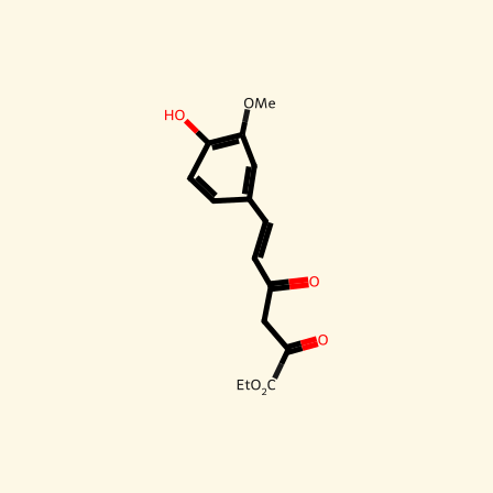 CCOC(=O)C(=O)CC(=O)C=Cc1ccc(O)c(OC)c1